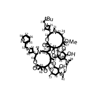 CO[C@]1(C)C[C@](C)(CC2(C)C(=O)OC[C@@H](C3CN(CC(C)(C)C)C3)N(C)C[C@H](C)C[C@@](C)(OC)[C@H](O[C@@H]3O[C@H](C)C[C@H](N(C)C)[C@H]3O)[C@@H](C)C2=O)CN(C)[C@H](C2CN(Cc3ccccn3)C2)COC(=O)C(C)(C)C(=O)[C@H](C)[C@H]1O[C@@H]1O[C@H](C)C[C@H](N(C)C)[C@H]1O